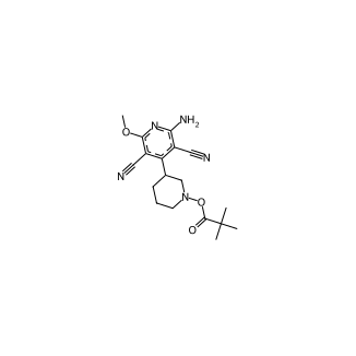 COc1nc(N)c(C#N)c(C2CCCN(OC(=O)C(C)(C)C)C2)c1C#N